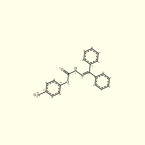 O=C(NN=C(c1ccccc1)c1ccccc1)Oc1ccc([N+](=O)[O-])cc1